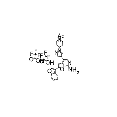 CC(=O)N1CCC(n2cc(-c3cnc(N)c4oc(-c5coc6ccccc56)cc34)cn2)CC1.O=C(O)C(F)(F)F.O=C(O)C(F)(F)F